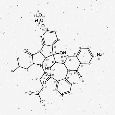 CC(C)CC1C(=O)N2c3ccccc3[C@](O)(C3NC(=O)c4ccccc4N4C(=O)c5ccccc5NC34)C2N1C(=O)CCC(=O)[O-].O.O.O.[Na+]